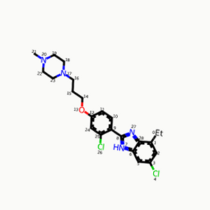 CCc1cc(Cl)cc2[nH]c(-c3ccc(OCCCN4CCN(C)CC4)cc3Cl)nc12